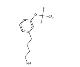 [NH]CCCCc1cccc(OC(F)(F)C(F)(F)F)c1